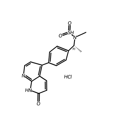 C[C@H](c1ccc(-c2ccnc3[nH]c(=O)ccc23)cc1)N(C)[SH](=O)=O.Cl